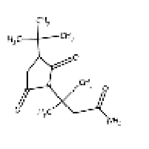 CC(C)(C)C1CC(=O)N(C(C)(C)CC(N)=O)C1=O